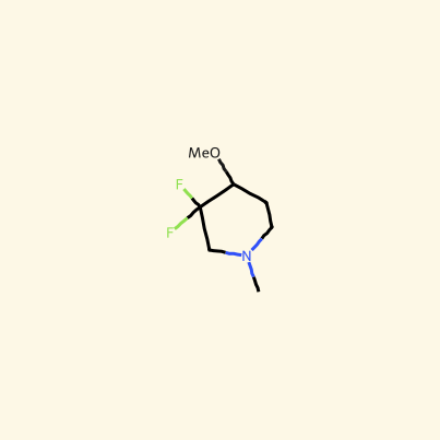 COC1CCN(C)CC1(F)F